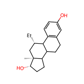 CC[C@H]1C[C@@]2(C)C(CC[C@@H]2O)C2CCc3cc(O)ccc3C21